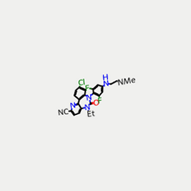 CCN1C(=O)N(c2c(F)cc(NCCNC)cc2F)c2cc(Cl)ccc2-c2nc(C#N)ccc21